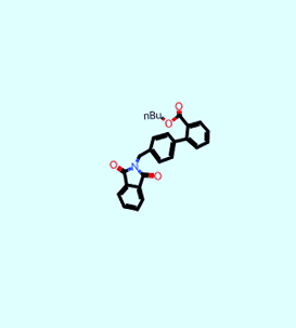 CCCCOC(=O)c1ccccc1-c1ccc(CN2C(=O)c3ccccc3C2=O)cc1